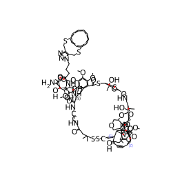 CCN(C(C)=O)C1COCC(OC2C3OC(C)C(NOC4CC(O)C(SC(=O)c5c(c(I)c(OC6OC(C)C(O)C(OC)C6O)c(OC)c5OC)C[C@H](NC(=O)[C@H](CC(N)=O)NC(=O)CCCn5nnc6c5CSc5ccccccc(cc5)SC6)C(=O)NCCNC(=O)CC(C)(C)SSC/C=C5\C6C(NC(=O)OC)C(=O)C[C@@]5(O)C#C/C=C\C#C[C@@H]6O3)C(C)O4)C2O)C1OC